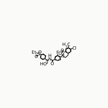 CCS(=O)(=O)c1ccc([C@H](CO)NC(=O)c2ccc(N3CCc4cc(Cl)c(C)cc4S3(=O)=O)c(F)c2)cc1